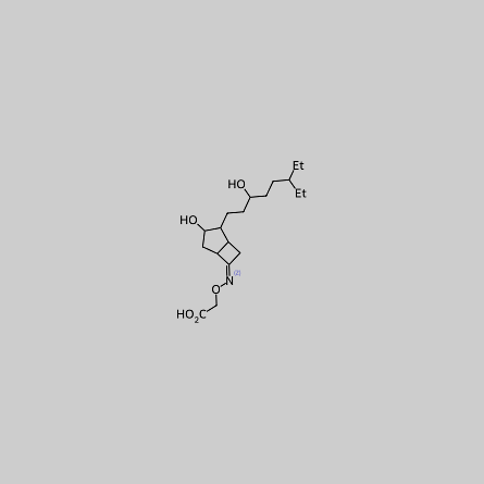 CCC(CC)CCC(O)CCC1C(O)CC2/C(=N\OCC(=O)O)CC21